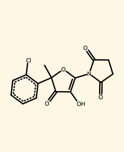 CC1(c2ccccc2Cl)OC(N2C(=O)CCC2=O)=C(O)C1=O